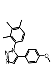 COc1ccc(-c2cnnn2-c2ccc(C)c(C)c2C)cc1